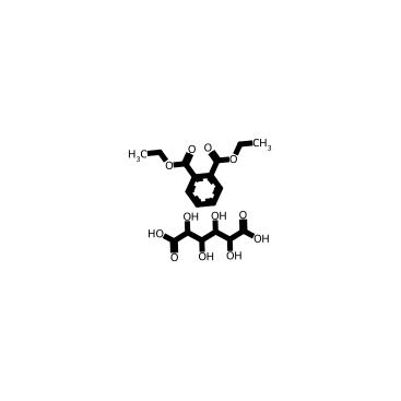 CCOC(=O)c1ccccc1C(=O)OCC.O=C(O)C(O)C(O)C(O)C(O)C(=O)O